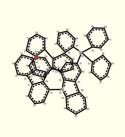 c1ccc(-c2ccccc2-n2c3ccccc3c3cccc(-n4c5ccccc5c5cc([Si](c6ccccc6)(c6ccccc6)c6ccccc6)cc(-c6ccccc6)c54)c32)cc1